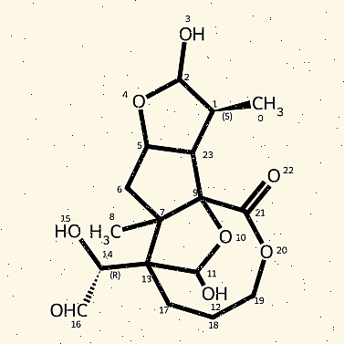 C[C@@H]1C(O)OC2CC3(C)C4(OC(O)C3([C@@H](O)C=O)CCCOC4=O)C21